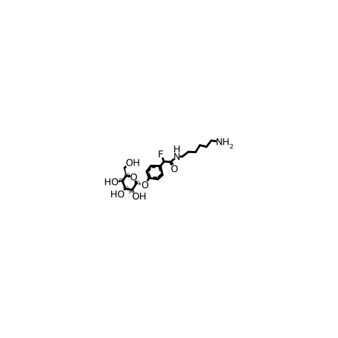 NCCCCCCNC(=O)C(F)c1ccc(O[C@H]2O[C@H](CO)[C@H](O)[C@H](O)[C@H]2O)cc1